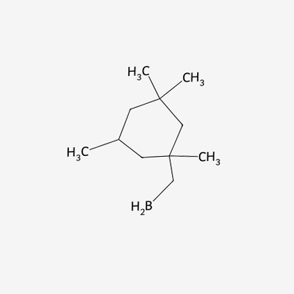 BCC1(C)CC(C)CC(C)(C)C1